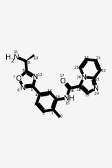 Cc1ccc(-c2noc([C@H](C)N)n2)cc1NC(=O)c1cnc2ccccn12